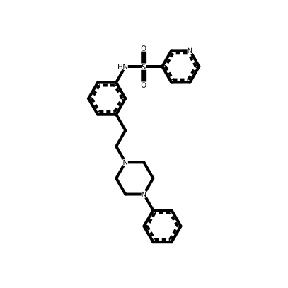 O=S(=O)(Nc1cccc(CCN2CCN(c3ccccc3)CC2)c1)c1cccnc1